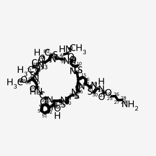 CNC(=O)C[C@@H]1NC(=O)c2csc(n2)-c2ccc(-c3nc(NC(=O)OCCCCN)cs3)nc2-c2csc(n2)-c2csc(n2)[C@H]([C@@H](O)c2ccccc2)NC(=O)CNC(=O)c2nc(sc2COC)[C@@H](C(C)C)NC(=O)c2nc1sc2C